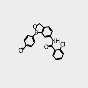 O=C(Nc1ccc2c(c1)B(c1ccc(Cl)cc1)OC2)c1ccccc1Cl